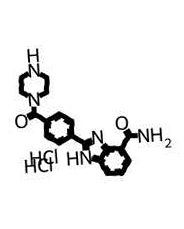 Cl.Cl.NC(=O)c1cccc2[nH]c(-c3ccc(C(=O)N4CCNCC4)cc3)nc12